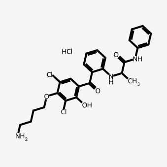 CC(Nc1ccccc1C(=O)c1cc(Cl)c(OCCCCN)c(Cl)c1O)C(=O)Nc1ccccc1.Cl